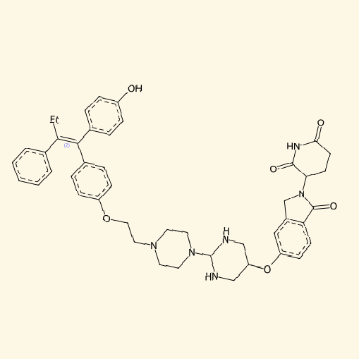 CC/C(=C(\c1ccc(O)cc1)c1ccc(OCCN2CCN(C3NCC(Oc4ccc5c(c4)CN(C4CCC(=O)NC4=O)C5=O)CN3)CC2)cc1)c1ccccc1